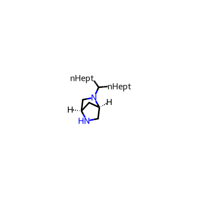 CCCCCCCC(CCCCCCC)N1C[C@H]2C[C@@H]1CN2